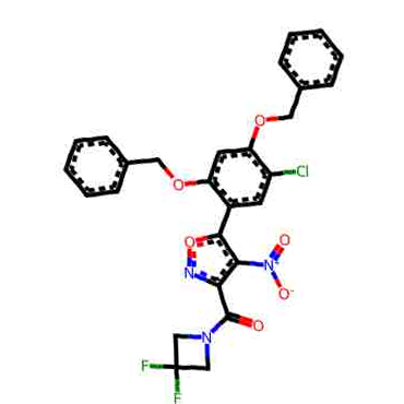 O=C(c1noc(-c2cc(Cl)c(OCc3ccccc3)cc2OCc2ccccc2)c1[N+](=O)[O-])N1CC(F)(F)C1